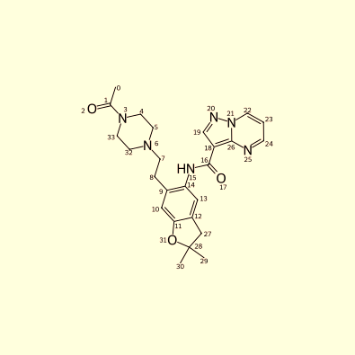 CC(=O)N1CCN(CCc2cc3c(cc2NC(=O)c2cnn4cccnc24)CC(C)(C)O3)CC1